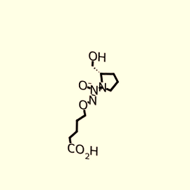 O=C(O)CCCCO/N=[N+](\[O-])N1CCC[C@H]1CO